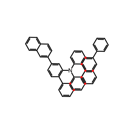 c1ccc(-c2ccc(-c3ccccc3N(c3ccccc3-c3ccccc3)c3cc(-c4ccc5ccccc5c4)ccc3-c3ccccc3)cc2)cc1